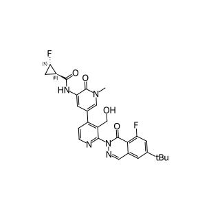 Cn1cc(-c2ccnc(-n3ncc4cc(C(C)(C)C)cc(F)c4c3=O)c2CO)cc(NC(=O)[C@H]2C[C@@H]2F)c1=O